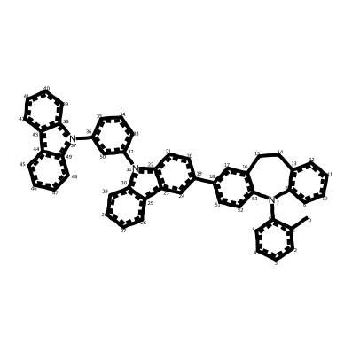 Cc1ccccc1N1c2ccccc2CCc2cc(-c3ccc4c(c3)c3ccccc3n4-c3cccc(-n4c5ccccc5c5ccccc54)c3)ccc21